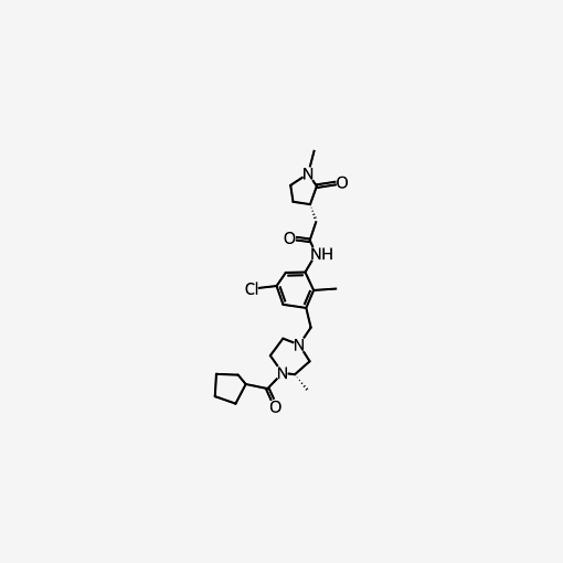 Cc1c(CN2CCN(C(=O)C3CCCC3)[C@@H](C)C2)cc(Cl)cc1NC(=O)C[C@@H]1CCN(C)C1=O